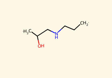 [CH2]CCNCC([CH2])O